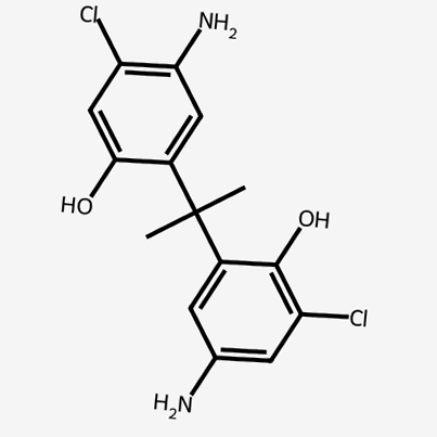 CC(C)(c1cc(N)c(Cl)cc1O)c1cc(N)cc(Cl)c1O